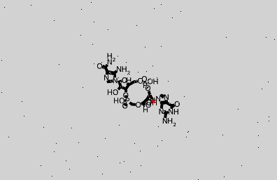 NC(=O)c1ncn([C@@H]2O[C@@H]3COP(=O)(O)OC4[C@@H](O)[C@@H](OCP(=O)(O)OC3C2O)O[C@H]4n2cnc3c(=O)[nH]c(N)nc32)c1N